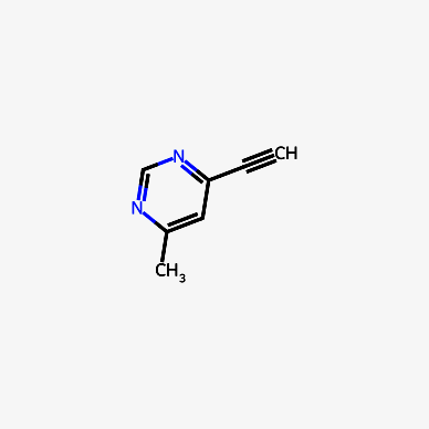 C#Cc1cc(C)ncn1